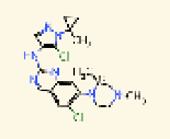 C[C@H]1CN(C)CCN1c1cc2nc(Nc3cnn(C4(C)CC4)c3Cl)ncc2cc1Cl